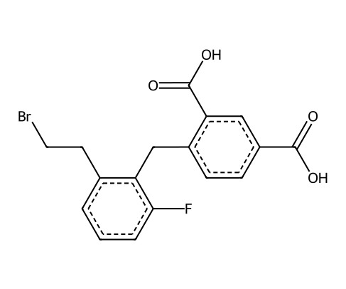 O=C(O)c1ccc(Cc2c(F)cccc2CCBr)c(C(=O)O)c1